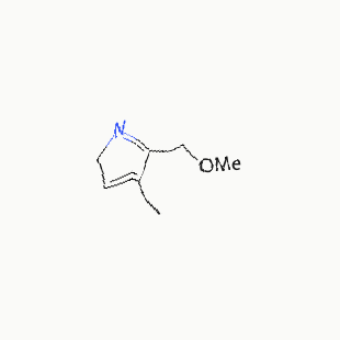 COCC1=NCC=C1C